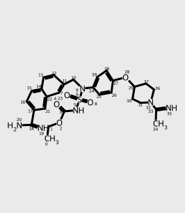 CCOC(=O)NS(=O)(=O)N(Cc1ccc2ccc(C(=N)N)cc2c1)c1ccc(OC2CCN(C(C)=N)CC2)cc1